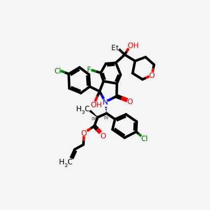 C=CCOC(=O)[C@@H](C)[C@@H](c1ccc(Cl)cc1)N1C(=O)c2cc(C(O)(CC)C3CCOCC3)cc(F)c2C1(O)c1ccc(Cl)cc1